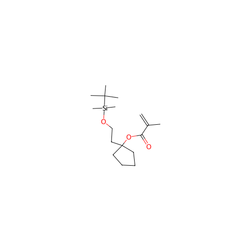 C=C(C)C(=O)OC1(CCO[Si](C)(C)C(C)(C)C)CCCC1